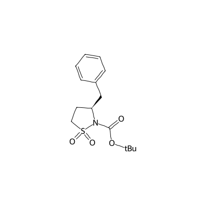 CC(C)(C)OC(=O)N1[C@H](Cc2ccccc2)CCS1(=O)=O